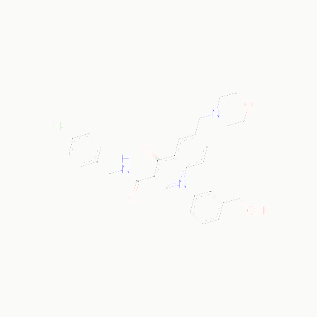 O=C(NCc1ccc(Cl)cc1)c1cn(-c2cccc(CO)c2)c2ccc(CN3CCOCC3)cc2c1=O